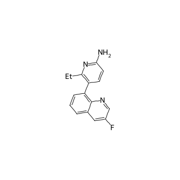 CCc1nc(N)ccc1-c1cccc2cc(F)cnc12